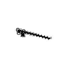 CCCCCCCCC=CCCCCCCCCOC(CC(=O)[O-])C[N+](C)(C)C